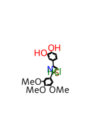 COc1cc(-c2nc(-c3ccc(O)c(O)c3)cs2)cc(OC)c1OC.Cl